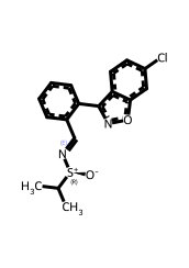 CC(C)[S@+]([O-])/N=C/c1ccccc1-c1noc2cc(Cl)ccc12